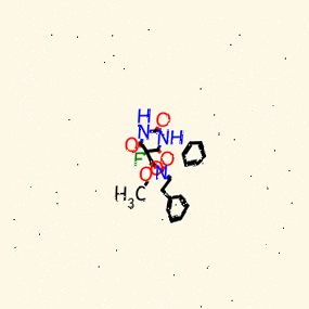 CCOC(=O)C1(F)C(=O)NC(=O)NC1ON=CCc1ccccc1.[c]1ccccc1